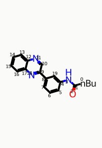 CCCCC(=O)Nc1cccc(-c2cnc3ccccc3n2)c1